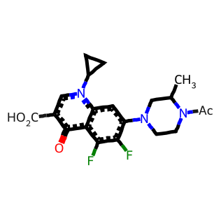 CC(=O)N1CCN(c2cc3c(c(F)c2F)c(=O)c(C(=O)O)cn3C2CC2)CC1C